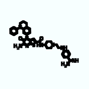 N=C(N)c1ccc(NCCN2CCC(NC(=O)c3cc4c(nc(N)c(=O)n4-c4ccc5c(c4)N(c4ccccc4)CCC5)s3)CC2)cc1